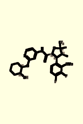 COc1c([C@H]2[C@H](C(=O)Nc3ccnc(O[C@@H]4CCCC[C@@H]4O)c3)O[C@@](C)(C(F)(F)F)[C@H]2C)ccc(F)c1F